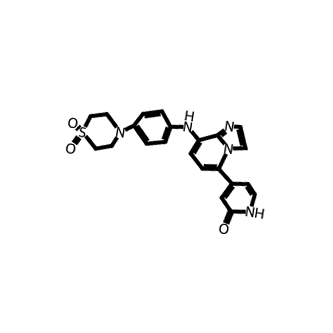 O=c1cc(-c2ccc(Nc3ccc(N4CCS(=O)(=O)CC4)cc3)c3nccn23)cc[nH]1